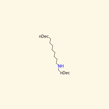 CCCCCCCCCCCCCCCCCCNCCCCCCCCCCC